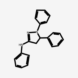 c1ccc(NC2=NN(c3ccccc3)C(c3ccccc3)C2)cc1